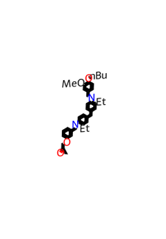 CCCCOc1ccc(/C=N/c2ccc(Cc3ccc(/N=C/c4cccc(OCC5CO5)c4)c(CC)c3)cc2CC)cc1OC